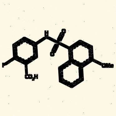 COc1ccc(S(=O)(=O)Nc2ccc(F)c(C(=O)O)c2)c2ccccc12